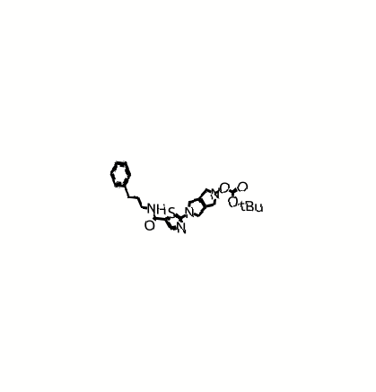 CC(C)(C)OC(=O)ON1CC2=C(C1)CN(c1ncc(C(=O)NCCCc3ccccc3)s1)C2